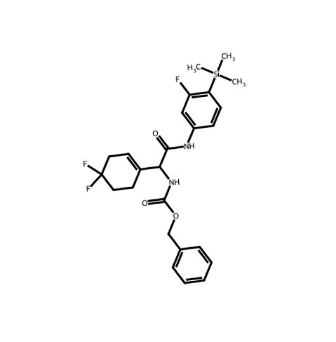 C[Si](C)(C)c1ccc(NC(=O)C(NC(=O)OCc2ccccc2)C2=CCC(F)(F)CC2)cc1F